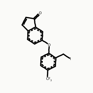 O=C1C=Cc2ccc(Oc3ccc(C(F)(F)F)cc3CI)cc21